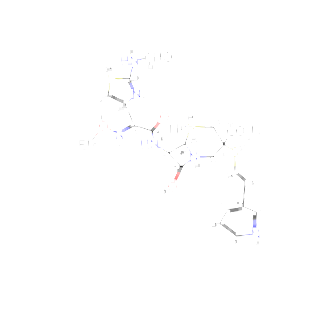 CCON=C(C(=O)NC1C(=O)N2CC(SC=Cc3cccnc3)(C(=O)O)CS[C@H]12)c1csc(NC=O)n1